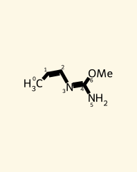 C/C=C\N=C(\N)OC